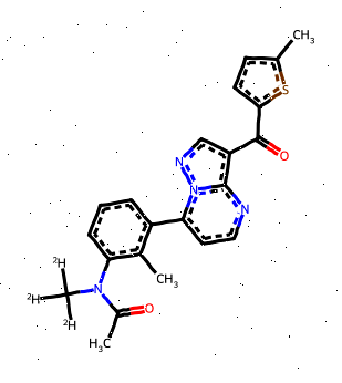 [2H]C([2H])([2H])N(C(C)=O)c1cccc(-c2ccnc3c(C(=O)c4ccc(C)s4)cnn23)c1C